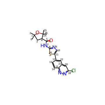 CC1(C)CC(C(=O)Nc2ncc(-c3ccc4nnc(Cl)cc4c3)s2)C(C)(C)O1